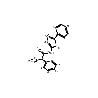 O=C(Nc1nnc(-c2ccccc2)s1)C(c1ccccc1)S(=O)(=O)O